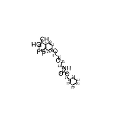 CC(O)c1ccc(OCCOCCNC(=O)OCc2ccccc2)cc1C(F)(F)F